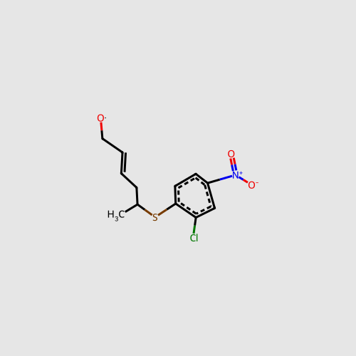 CC(CC=CC[O])Sc1ccc([N+](=O)[O-])cc1Cl